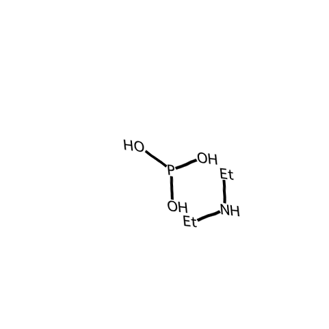 CCNCC.OP(O)O